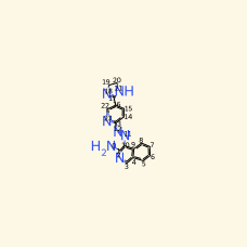 Nc1ncc2ccccc2c1/N=N/c1ccc(C2=NCCN2)cn1